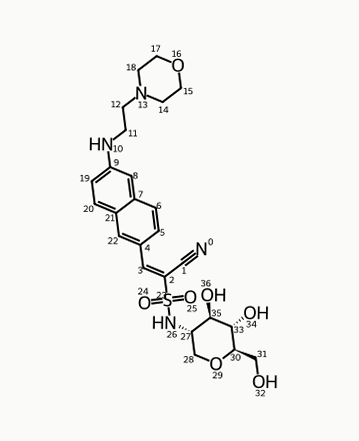 N#C/C(=C\c1ccc2cc(NCCN3CCOCC3)ccc2c1)S(=O)(=O)N[C@H]1CO[C@H](CO)[C@@H](O)[C@@H]1O